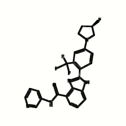 O=C(Nc1cccnc1)c1cccc2[nH]c(-c3ccc(N4CC[C@@H](F)C4)cc3C(F)(F)F)nc12